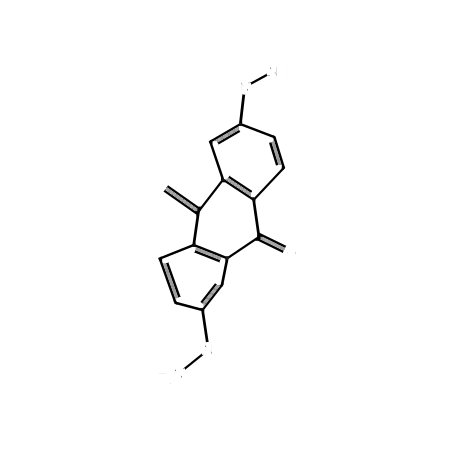 NNc1ccc2c(c1)C(=O)c1ccc(NN)cc1C2=O